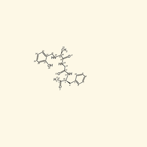 CC(=O)[C@H](Cc1ccccc1)NC(=O)CNC(=O)[C@H](C)NCc1ccccc1O